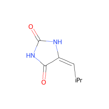 CC(C)/C=C1/NC(=O)NC1=O